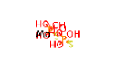 O.OP(O)(O)=S.OP(O)(O)=S.[Mo]